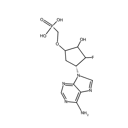 Nc1ncnc2c1ncn2[C@@H]1CC(OCP(=O)(O)O)C(O)C1F